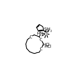 Cl.Cl.[CH3][Ti]([CH3])([CH3])([CH3])([CH3])([CH3])(=[SiH2])([NH]C1CCCCCCCCCCC1)[C]1=CC=CC1